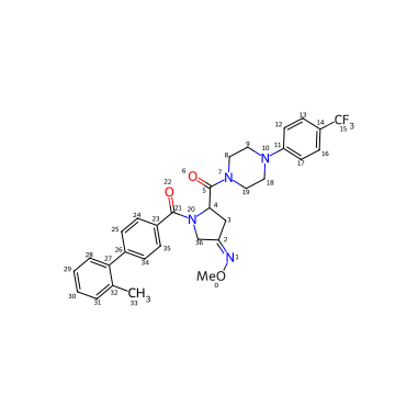 CON=C1CC(C(=O)N2CCN(c3ccc(C(F)(F)F)cc3)CC2)N(C(=O)c2ccc(-c3ccccc3C)cc2)C1